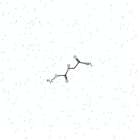 [CH2]OC(=O)NCC(N)=O